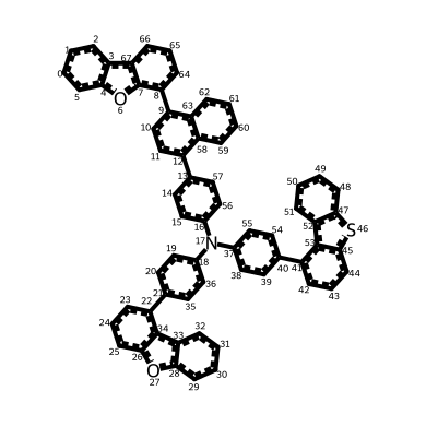 c1ccc2c(c1)oc1c(-c3ccc(-c4ccc(N(c5ccc(-c6cccc7oc8ccccc8c67)cc5)c5ccc(-c6cccc7sc8ccccc8c67)cc5)cc4)c4ccccc34)cccc12